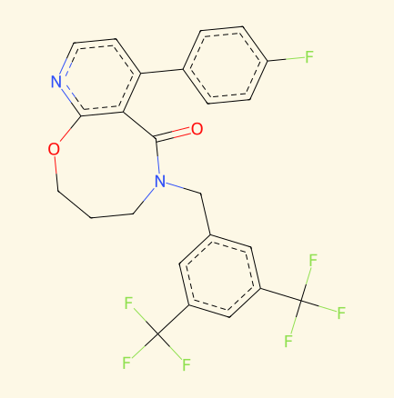 O=C1c2c(-c3ccc(F)cc3)ccnc2OCCCN1Cc1cc(C(F)(F)F)cc(C(F)(F)F)c1